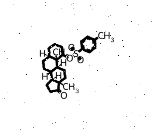 Cc1ccc(S(=O)(=O)OC2CCC[C@@H]3CC[C@@H]4[C@H](CC[C@]5(C)C(=O)CC[C@@H]45)[C@@]23C)cc1